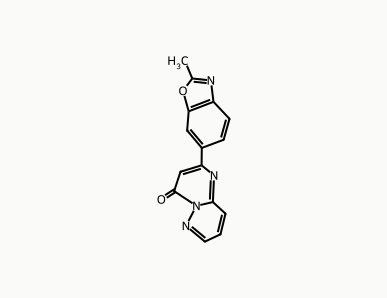 Cc1nc2ccc(-c3cc(=O)n4ncccc4n3)cc2o1